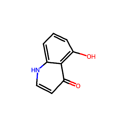 O=c1cc[nH]c2cccc(O)c12